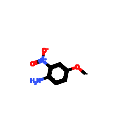 [CH2]Oc1ccc(N)c([N+](=O)[O-])c1